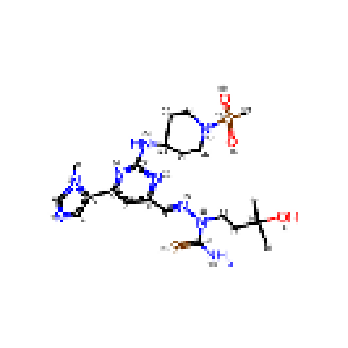 Cn1cncc1-c1cc(/C=N/N(CCC(C)(C)O)C(N)=S)nc(NC2CCN(S(C)(=O)=O)CC2)n1